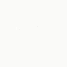 C[C](C)c1cccc(O)c1C(F)(F)F